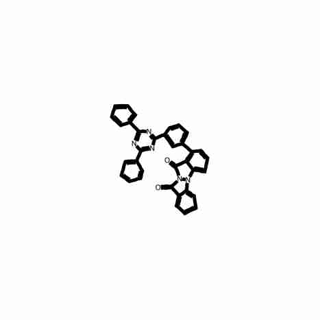 O=c1c2ccccc2n2c3cccc(-c4cccc(-c5nc(-c6ccccc6)nc(-c6ccccc6)n5)c4)c3c(=O)n12